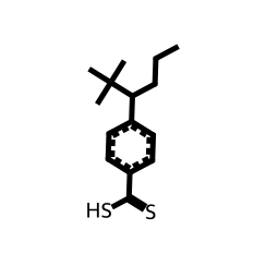 CCCC(c1ccc(C(=S)S)cc1)C(C)(C)C